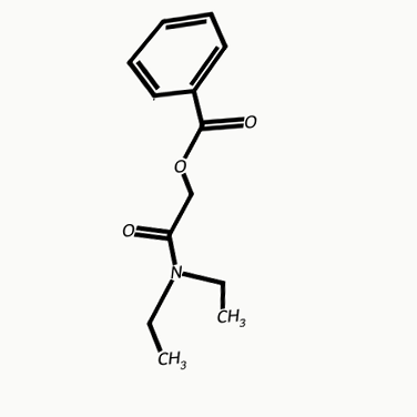 CCN(CC)C(=O)COC(=O)c1[c]cccc1